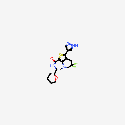 O=C1N[C@@H]([C@@H]2CCCCO2)CN2CC(F)(F)Cc3c(-c4cn[nH]c4)sc1c32